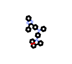 c1ccc(-c2ccccc2N(c2ccccc2)c2ccc(N(c3ccccc3)c3ccc(-c4nc5ccccc5nc4-c4ccccc4)cc3)cc2)cc1